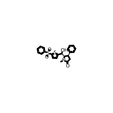 CN1C(=O)C[C@H](c2ccccc2)[C@@H]1C(O)c1ccc(S(=O)(=O)c2ccccc2)s1